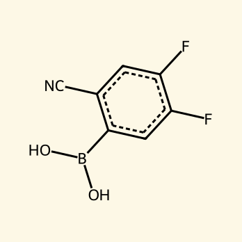 N#Cc1cc(F)c(F)cc1B(O)O